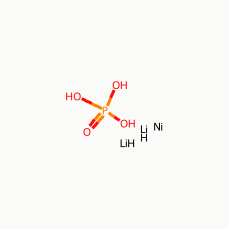 O=P(O)(O)O.[LiH].[LiH].[Ni]